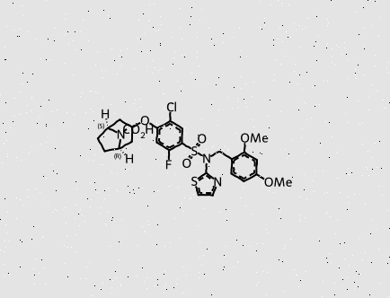 COc1ccc(CN(c2nccs2)S(=O)(=O)c2cc(Cl)c(OC3C[C@H]4CC[C@@H](C3)N4C(=O)O)cc2F)c(OC)c1